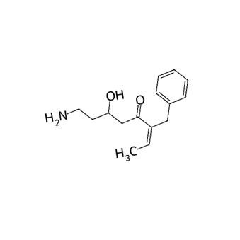 CC=C(Cc1ccccc1)C(=O)CC(O)CCN